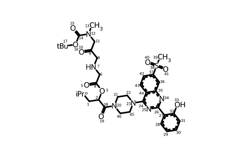 CC(C)CC(OC(=O)CNCC(=O)CN(C)C(=O)OC(C)(C)C)C(=O)N1CCN(c2nc(-c3ccccc3O)nc3cc(S(C)(=O)=O)ccc23)CC1